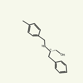 Cc1ccc(CN[C@H](CO)Cc2ccccc2)cc1